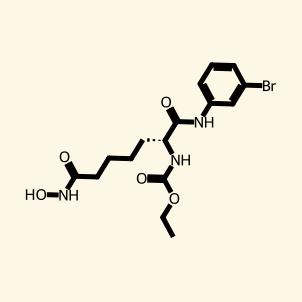 CCOC(=O)N[C@H](CCCCC(=O)NO)C(=O)Nc1cccc(Br)c1